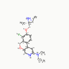 CC(C)C[C@](C)(N)COc1ccc2c(c1F)COc1cnc(N(C)C(=O)O)cc1-2